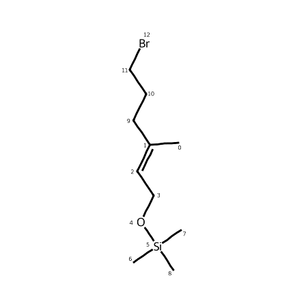 C/C(=C\CO[Si](C)(C)C)CCCBr